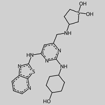 OC1CCC(Nc2nc(CNC3CCS(O)(O)C3)cc(Nc3nc4cccnc4s3)n2)CC1